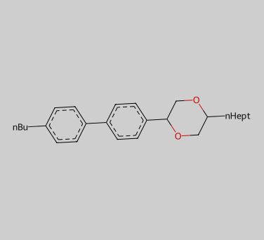 CCCCCCCC1COC(c2ccc(-c3ccc(CCCC)cc3)cc2)CO1